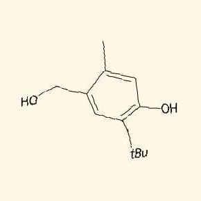 Cc1cc(O)c(C(C)(C)C)cc1CO